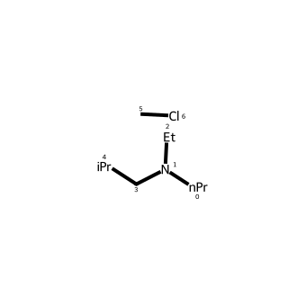 CCCN(CC)CC(C)C.CCl